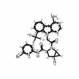 Nc1ncnc2c1c1cccc(C(F)(F)F)c1n2CC(=O)N1C2C[C@@H]2C[C@H]1C(=O)Nc1cccc(Br)n1